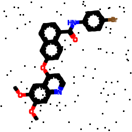 COc1cc2nccc(Oc3ccc4c(C(=O)Nc5ccc(Br)cc5)cccc4c3)c2cc1OC